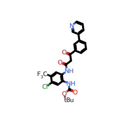 CC(C)(C)OC(=O)Nc1cc(Cl)c(C(F)(F)F)cc1NC(=O)CC(=O)c1cccc(-c2cccnc2)c1